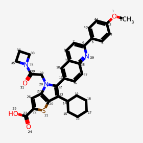 COc1ccc(-c2ccc3cc(-c4c(C5CCCCC5)c5sc(C(=O)O)cc5n4CC(=O)N4CCC4)ccc3n2)cc1